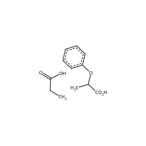 CC(Oc1ccccc1)C(=O)O.CCC(=O)O